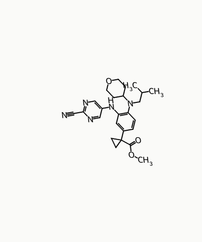 COC(=O)C1(c2ccc(N(CC(C)C)C3CCOCC3)c(Nc3cnc(C#N)nc3)c2)CC1